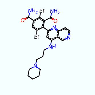 CCc1cc(C(N)=O)c(CC)c(C(N)=O)c1-c1cc(NCCCN2CCCCC2)c2cnccc2n1